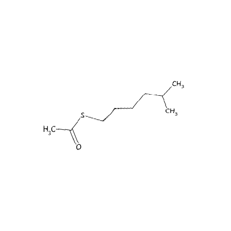 CC(=O)SCCCCC(C)C